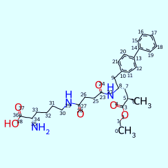 CCOC(=O)[C@H](C)C[C@@H](Cc1ccc(-c2ccccc2)cc1)NC(=O)CCC(=O)NCCCC[C@H](N)C(=O)O